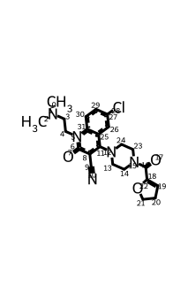 CN(C)CCn1c(=O)c(C#N)c(N2CCN(C(=O)C3=CCCO3)CC2)c2cc(Cl)ccc21